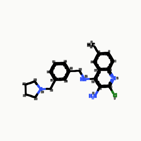 Cc1ccc2nc(Cl)c(N)c(NCc3cccc(CN4CCCC4)c3)c2c1